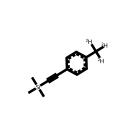 [2H]C([2H])([2H])c1ccc(C#C[Si](C)(C)C)cc1